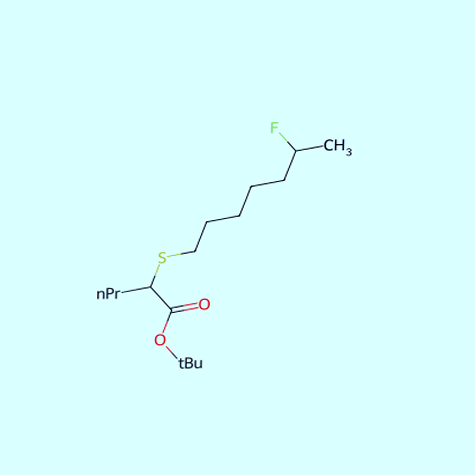 CCCC(SCCCCCC(C)F)C(=O)OC(C)(C)C